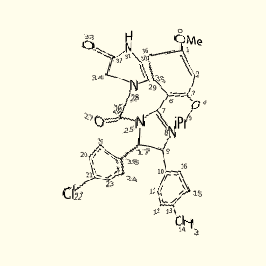 COC1=CC(OC(C)C)=C(C2=NC(c3ccc(C)cc3)C(c3ccc(Cl)cc3)N2C(=O)N2C=CNC(=O)C2)CC1